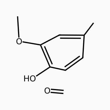 C=O.COc1cc(C)ccc1O